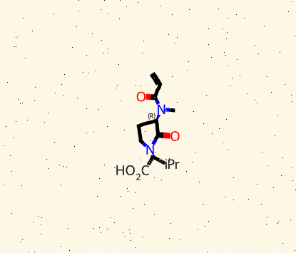 C=CC(=O)N(C)[C@@H]1CCN(C(C(=O)O)C(C)C)C1=O